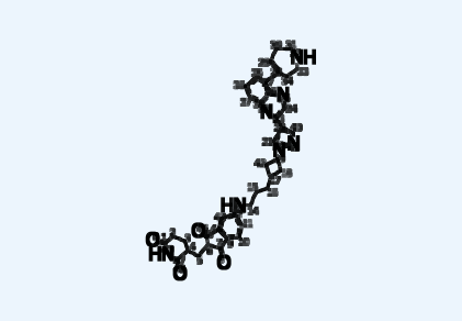 O=C1CCC(CC2C(=O)c3ccc(NCCCC4CC(n5cc(-c6cnc7c(C8=CCCNCC8)cccc7n6)cn5)C4)cc3C2=O)C(=O)N1